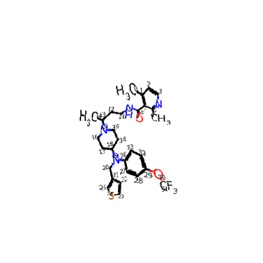 Cc1ccnc(C)c1C(=O)NCCC(C)N1CCC(N(Cc2ccsc2)c2ccc(OC(F)(F)F)cc2)CC1